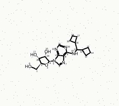 OC[C@@H]1O[C@H](n2cnc3c(NC(C4CCC4)C4CCC4)ncnc32)[C@@H](O)[C@H]1O